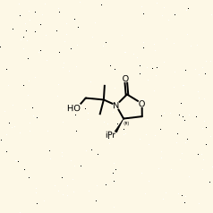 CC(C)[C@@H]1COC(=O)N1C(C)(C)CO